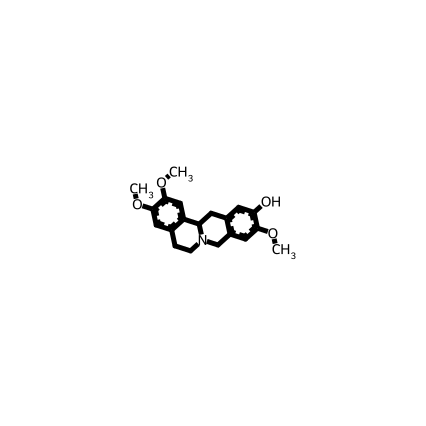 COc1cc2c(cc1O)CC1c3cc(OC)c(OC)cc3CCN1C2